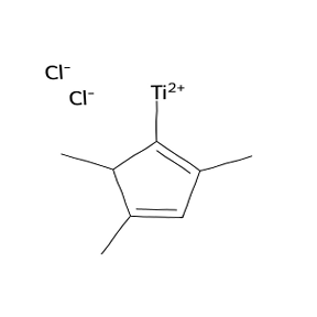 CC1=CC(C)=[C]([Ti+2])C1C.[Cl-].[Cl-]